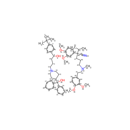 CC(C)(C)c1ccc(C(O)CCCN2CCC(C(O)(c3ccccc3)c3ccccc3)CC2)cc1.COc1ccc(CCN(C)CCCC(C#N)(c2ccc(OC)c(OC)c2)C(C)C)cc1OC